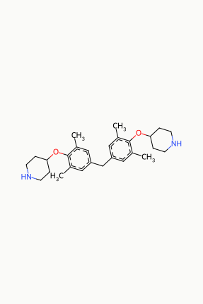 Cc1cc(Cc2cc(C)c(OC3CCNCC3)c(C)c2)cc(C)c1OC1CCNCC1